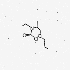 CCCOCC(C)N(CC)C(=O)Cl